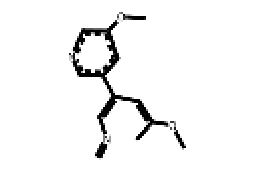 C=N/C=C(\C=C(/C)OC)c1cncc(OC)c1